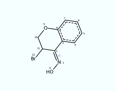 O/N=C1/c2ccccc2OCC1Br